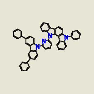 c1ccc(-c2ccc3c(c2)c2cc(-c4ccccc4)ccc2n3-c2cccc(-n3c4ccccc4c4ccc5c(c6ccccc6n5-c5ccccc5)c43)n2)cc1